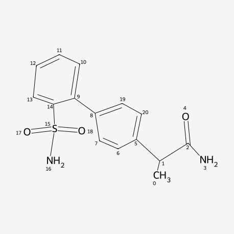 CC(C(N)=O)c1ccc(-c2ccccc2S(N)(=O)=O)cc1